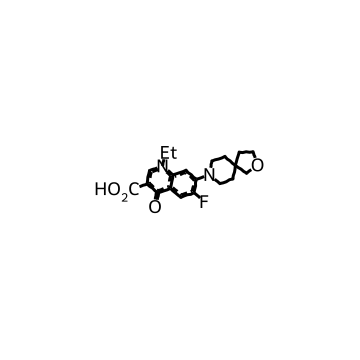 CCn1cc(C(=O)O)c(=O)c2cc(F)c(N3CCC4(CCOC4)CC3)cc21